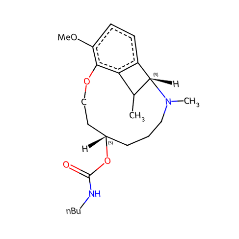 CCCCNC(=O)O[C@H]1CCCN(C)[C@H]2c3ccc(OC)c(c3C2C)OCC1